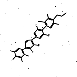 CCCc1c(C)cc(-c2c(F)cc(-c3ccc(-c4cc(C)c(C)c(C)c4C)c(F)c3F)cc2F)c(C)c1C